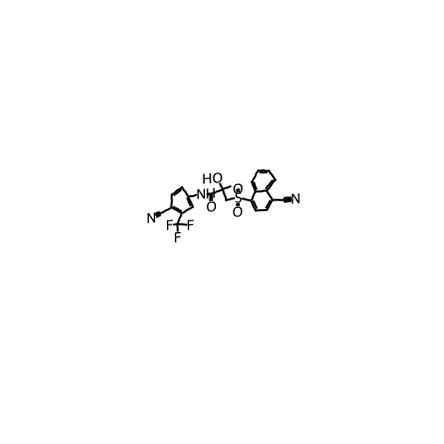 CC(O)(CS(=O)(=O)c1ccc(C#N)c2ccccc12)C(=O)Nc1ccc(C#N)c(C(F)(F)F)c1